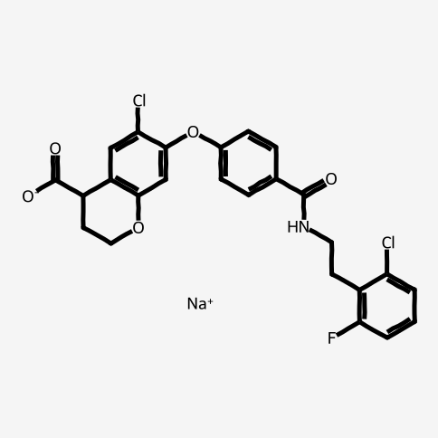 O=C(NCCc1c(F)cccc1Cl)c1ccc(Oc2cc3c(cc2Cl)C(C(=O)[O-])CCO3)cc1.[Na+]